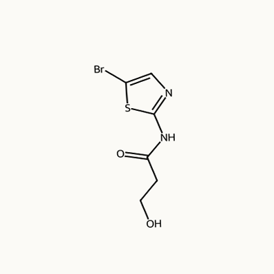 O=C(CCO)Nc1ncc(Br)s1